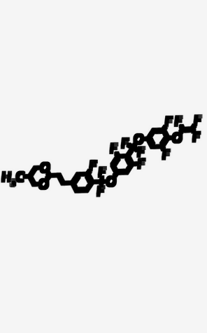 CC1COC(CCc2ccc(C(F)(F)Oc3cc(F)c(C(F)(F)Oc4cc(F)c(OC(F)=C(F)F)c(F)c4)c(F)c3)c(F)c2)OC1